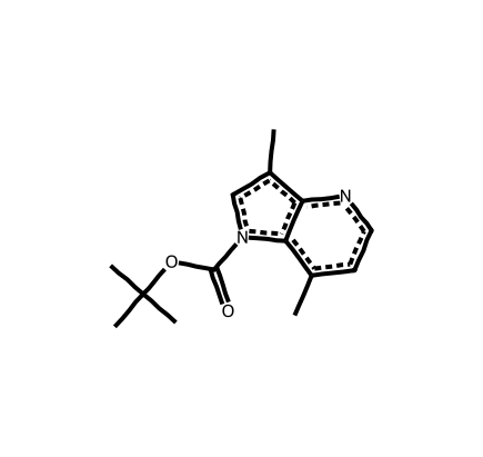 Cc1cn(C(=O)OC(C)(C)C)c2c(C)ccnc12